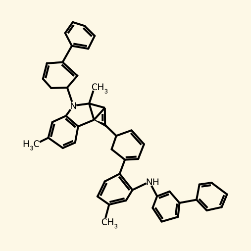 Cc1ccc(C2=CC=CC(C3=C4C5(C)N(C6C=C(c7ccccc7)C=CC6)c6cc(C)ccc6[C@@]345)C2)c(Nc2cccc(-c3ccccc3)c2)c1